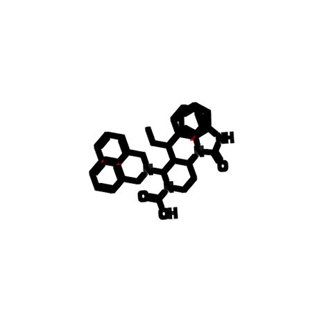 CCC(c1ccccc1)C1C(N(Cc2ccccc2)Cc2ccccc2)N(C(=O)O)CCC1n1c(=O)[nH]c2ccccc21